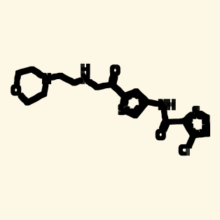 O=C(CNCCN1CCOCC1)c1cc(NC(=O)c2sccc2Cl)cs1